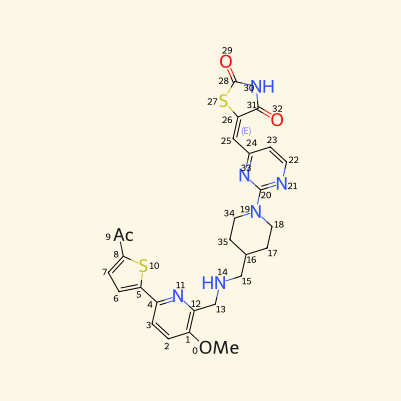 COc1ccc(-c2ccc(C(C)=O)s2)nc1CNCC1CCN(c2nccc(/C=C3/SC(=O)NC3=O)n2)CC1